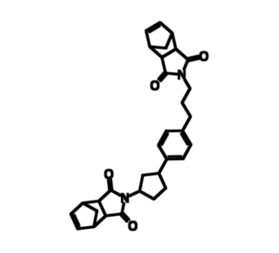 O=C1C2C3C=CC(C3)C2C(=O)N1CCCc1ccc(C2CCC(N3C(=O)C4C5C=CC(C5)C4C3=O)C2)cc1